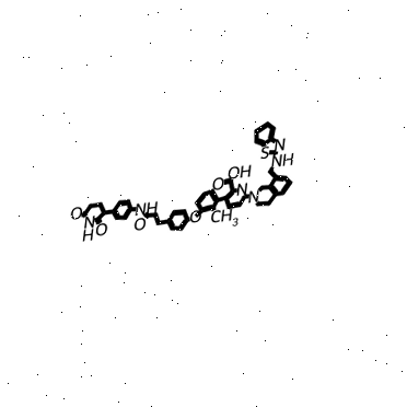 Cc1c(Oc2ccc(CCC(=O)Nc3ccc(C4CCC(=O)NC4=O)cc3)cc2)cccc1-c1ccc(N2CCc3cccc(CNc4nc5ccccc5s4)c3C2)nc1C(=O)O